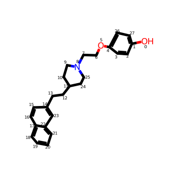 Oc1ccc(OCCN2CCC(CCc3ccc4ccccc4c3)CC2)cc1